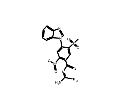 CS(=O)(=O)c1cc(C(=O)N=C(N)N)c([N+](=O)[O-])cc1-n1cnc2ccccc21